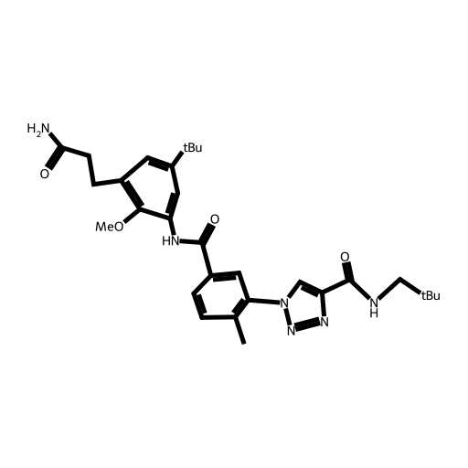 COc1c(CCC(N)=O)cc(C(C)(C)C)cc1NC(=O)c1ccc(C)c(-n2cc(C(=O)NCC(C)(C)C)nn2)c1